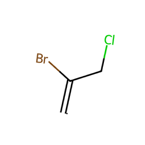 [CH]=C(Br)CCl